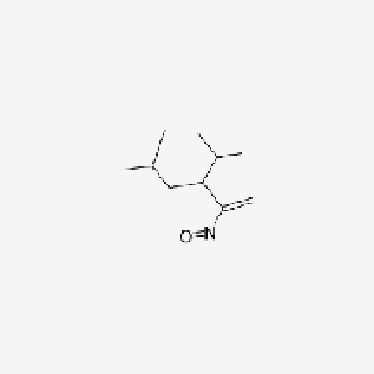 C=C(N=O)C(CC(C)C)C(C)C